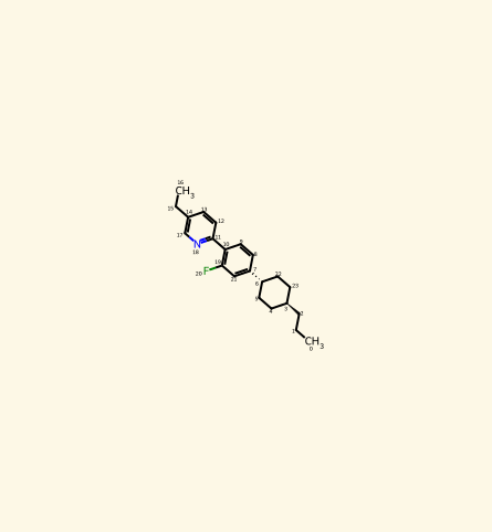 CCC[C@H]1CC[C@H](c2ccc(-c3ccc(CC)cn3)c(F)c2)CC1